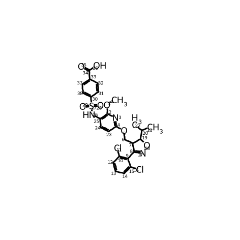 COc1nc(OCC2C(c3c(Cl)cccc3Cl)=NOC2C(C)C)ccc1NS(=O)(=O)c1ccc(C(=O)O)cc1